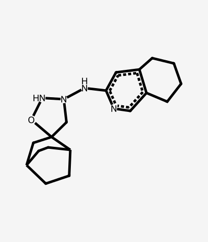 c1nc(NN2CC3(CC4CCC3CC4)ON2)cc2c1CCCC2